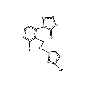 O=c1[nH]nnn1-c1cccc(Br)c1COc1ccn(O)n1